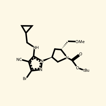 COC[C@H]1C[C@H](n2nc(Br)c(C#N)c2NCC2CC2)CN1C(=O)OC(C)(C)C